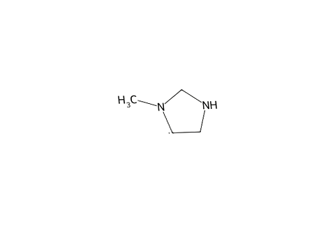 CN1[CH]CNC1